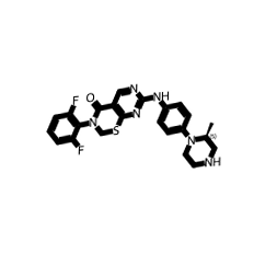 C[C@H]1CNCCN1c1ccc(Nc2ncc3c(n2)SCN(c2c(F)cccc2F)C3=O)cc1